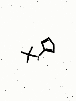 CC(C)(C)NC1=[C]CC=C1